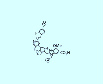 COc1cc(C(=O)O)cc2c1nc(Cc1c(F)cc(-c3nc(OCc4ccc(C5COC5)cc4F)ncc3F)c3c1CCO3)n2C[C@@H]1CCO1